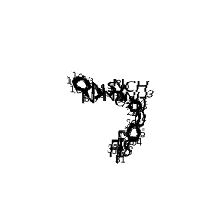 Cc1nsc(Nc2cnc3ccccc3n2)c1C(=O)Nc1ccc(Oc2ccc(SC(F)(F)F)cc2)nc1